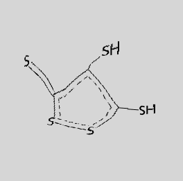 S=c1ssc(S)c1S